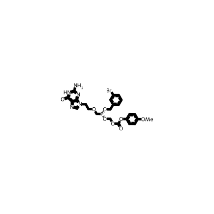 COc1ccc(OC(=O)OCOP(COCCn2cnc3c(=O)[nH]c(N)nc32)OCc2cccc(Br)c2)cc1